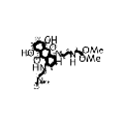 COC(CNCCNc1ccc(NCCN(C)C)c2c1C(=O)c1c(O)ccc(O)c1C2=O)OC